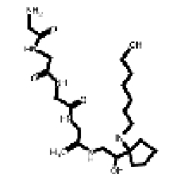 C=C(CNC(=O)CNC(=O)CNC(=O)CN)NCC(O)C1(NCCCCCCO)CCCC1